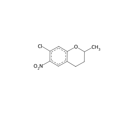 CC1CCc2cc([N+](=O)[O-])c(Cl)cc2O1